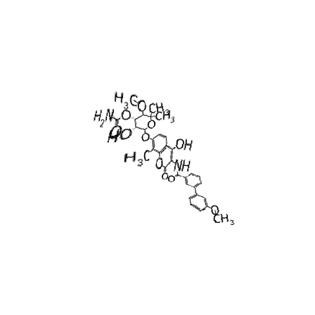 COc1cccc(-c2cccc(C(=O)Nc3c(O)c4ccc(O[C@@H]5OC(C)(C)[C@H](OC)[C@@H](OC(N)=O)[C@H]5O)c(C)c4oc3=O)c2)c1